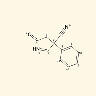 N#CC(C=N)(CC=O)c1ccccc1